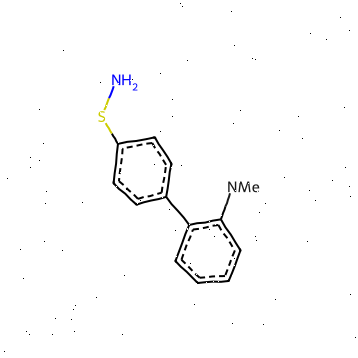 CNc1ccccc1-c1ccc(SN)cc1